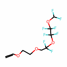 C=COCCOCC(F)(F)OC(F)(F)C(F)(F)OC(F)F